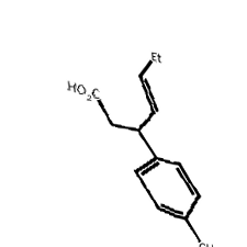 CCC=CC(CC(=O)O)c1ccc(O)cc1